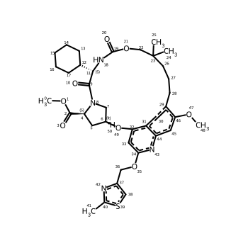 COC(=O)[C@@H]1C[C@@H]2CN1C(=O)[C@H](C1CCCCC1)NC(=O)OCC(C)(C)CCCc1cc3c(cc(OCc4csc(C)n4)nc3cc1OC)O2